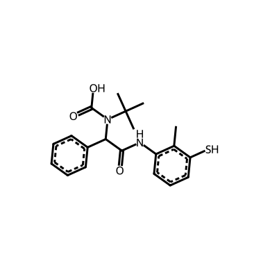 Cc1c(S)cccc1NC(=O)C(c1ccccc1)N(C(=O)O)C(C)(C)C